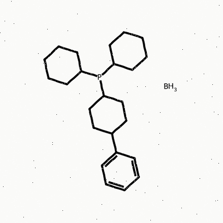 B.c1ccc(C2CCC(P(C3CCCCC3)C3CCCCC3)CC2)cc1